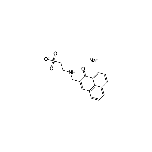 O=C1C(CNCCS(=O)(=O)[O-])=Cc2cccc3cccc1c23.[Na+]